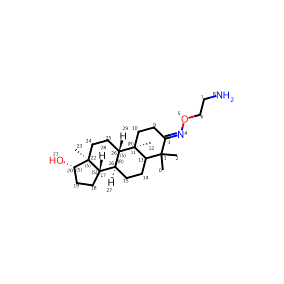 CC1(C)C(=NOCCN)CC[C@@]2(C)C1CC[C@H]1[C@@H]3CC[C@H](O)[C@@]3(C)CC[C@@H]12